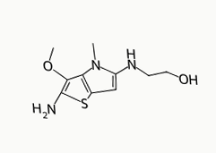 COc1c(N)sc2cc(NCCO)n(C)c12